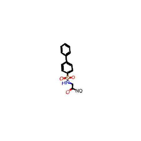 O=NC(=O)CNS(=O)(=O)c1ccc(-c2ccccc2)cc1